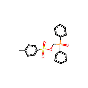 Cc1ccc(S(=O)(=O)OCP(=O)(c2ccccc2)c2ccccc2)cc1